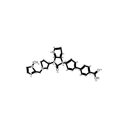 Cn1ccnc1CN1CCC(n2c(=O)n(-c3ccc(-c4ccc(C(=O)O)cc4)cc3)c3cccnc32)C1